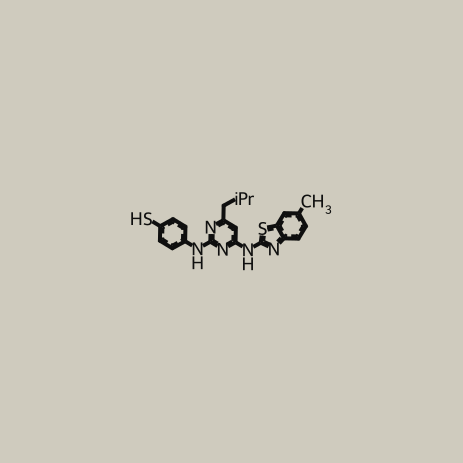 Cc1ccc2nc(Nc3cc(CC(C)C)nc(Nc4ccc(S)cc4)n3)sc2c1